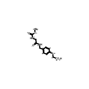 CC(C)(C)OC(=O)NCC(=O)NCc1ccc(SCC(=O)O)cc1